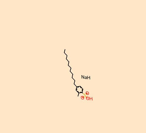 CCCCCCCCCCCCc1ccc(S(=O)(=O)O)c(C)c1.[NaH]